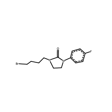 O=C1N(CCCCBr)CCN1c1ccc(F)cc1